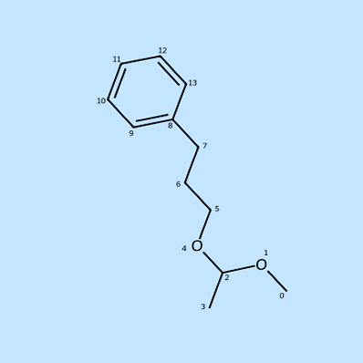 COC(C)OCCCc1ccccc1